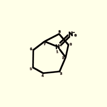 [N-]=[N+]1C2CCCCC1CC2